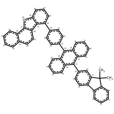 CC1(C)c2ccccc2-c2ccc(-c3c4ccccc4c(-c4ccc(-c5cccc6oc7c8ccccc8ccc7c56)cc4)c4ccccc34)cc21